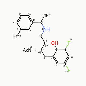 CCCC(NC[C@H](O)[C@H](Cc1cc(F)cc(F)c1)NC(C)=O)c1cccc(CC)c1